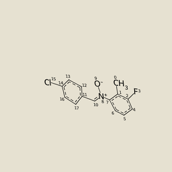 Cc1c(F)cccc1[N+]([O-])=Cc1ccc(Cl)cc1